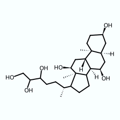 C[C@H](CCC(O)C(O)CO)C1CCC2[C@@H]3[C@H](O)C[C@@H]4C[C@H](O)CC[C@]4(C)[C@H]3C[C@H](O)[C@@]21C